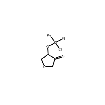 CC[Si](CC)(CC)OC1COCC1=O